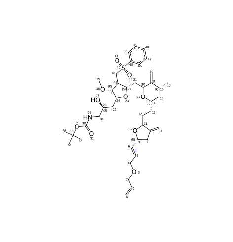 C=CCOC/C=C/[C@H]1CC(=C)C(CC[C@H]2C[C@@H](C)C(=C)C(C[C@@H]3OC(C[C@H](O)CNC(=O)OC(C)(C)C)[C@H](OC)C3CS(=O)(=O)c3ccccc3)O2)O1